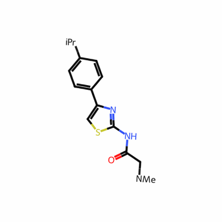 CNCC(=O)Nc1nc(-c2ccc(C(C)C)cc2)cs1